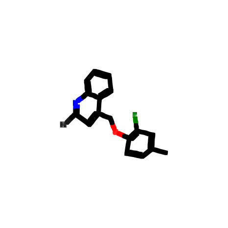 CCc1cc(COc2ccc(C)cc2F)c2ccccc2n1